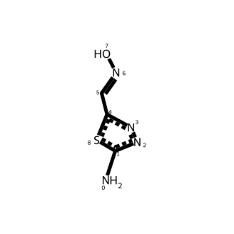 Nc1nnc(/C=N/O)s1